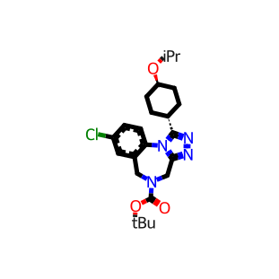 CC(C)O[C@H]1CC[C@H](c2nnc3n2-c2ccc(Cl)cc2CN(C(=O)OC(C)(C)C)C3)CC1